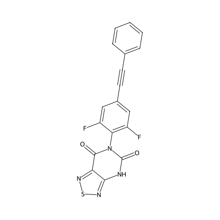 O=c1[nH]c2nsnc2c(=O)n1-c1c(F)cc(C#Cc2ccccc2)cc1F